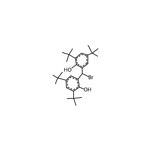 CC(C)(C)c1cc(C(Br)c2cc(C(C)(C)C)cc(C(C)(C)C)c2O)c(O)c(C(C)(C)C)c1